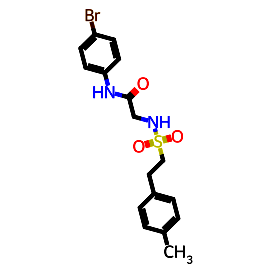 Cc1ccc(CCS(=O)(=O)NCC(=O)Nc2ccc(Br)cc2)cc1